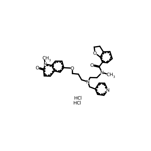 CN(CCN(CCCOc1ccc2c(ccc(=O)n2C)c1)Cc1ccncc1)C(=O)c1cccc2c1OCC2.Cl.Cl